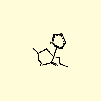 CCCC1(c2ccccn2)CN(C)CNC1=S